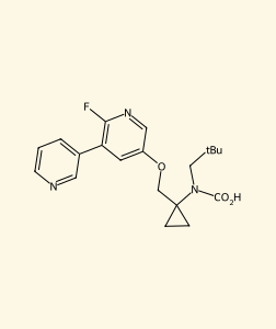 CC(C)(C)CN(C(=O)O)C1(COc2cnc(F)c(-c3cccnc3)c2)CC1